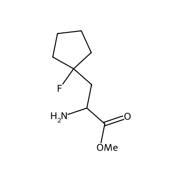 COC(=O)C(N)CC1(F)CCCC1